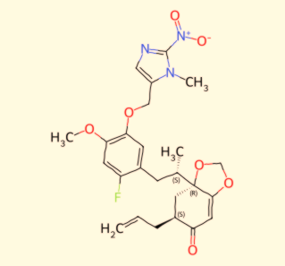 C=CC[C@H]1C[C@]2([C@@H](C)Cc3cc(OCc4cnc([N+](=O)[O-])n4C)c(OC)cc3F)OCOC2=CC1=O